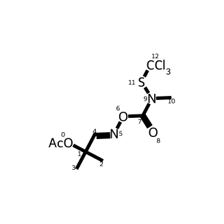 CC(=O)OC(C)(C)C=NOC(=O)N(C)SC(Cl)(Cl)Cl